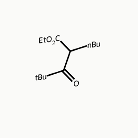 CCCCC(C(=O)OCC)C(=O)C(C)(C)C